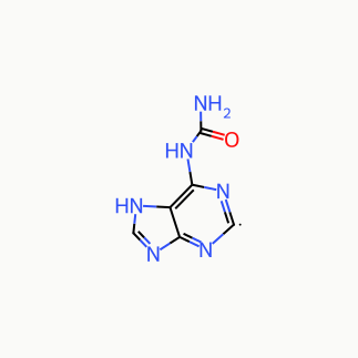 NC(=O)Nc1n[c]nc2nc[nH]c12